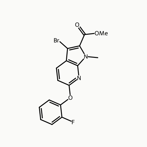 COC(=O)c1c(Br)c2ccc(Oc3ccccc3F)nc2n1C